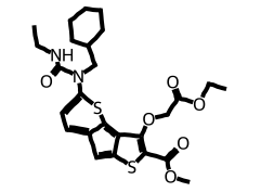 CCNC(=O)N(CC1CCCCC1)c1ccc2cc3sc(C(=O)OC)c(OCC(=O)OCC)c3c-2s1